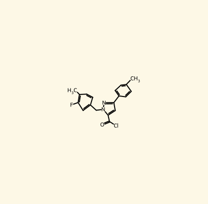 Cc1ccc(-c2cc(C(=O)Cl)n(Cc3ccc(C)c(F)c3)n2)cc1